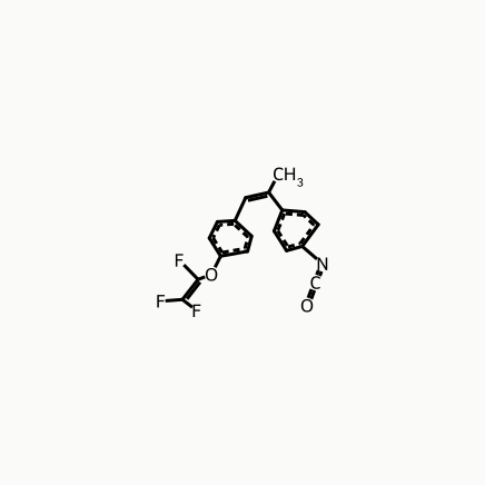 CC(=Cc1ccc(OC(F)=C(F)F)cc1)c1ccc(N=C=O)cc1